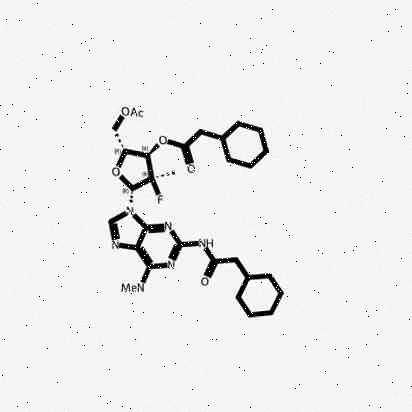 CNc1nc(NC(=O)CC2CCCCC2)nc2c1ncn2[C@@H]1O[C@H](COC(C)=O)[C@@H](OC(=O)CC2CCCCC2)[C@@]1(C)F